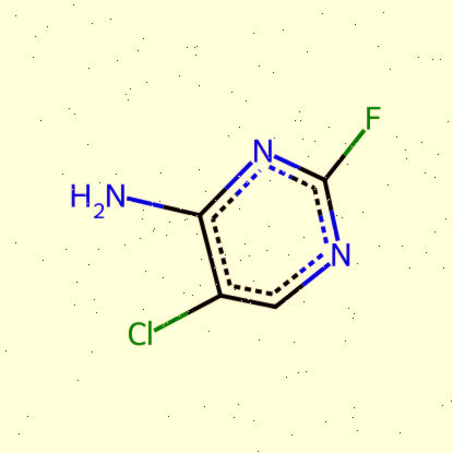 Nc1nc(F)ncc1Cl